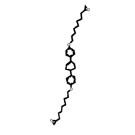 C1=C(c2ccc(OCCCCCCCCC3CO3)cc2)CCC(c2ccc(OCCCCCCCCC3CO3)cc2)C1